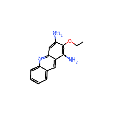 CCOc1c(N)cc2nc3ccccc3cc2c1N